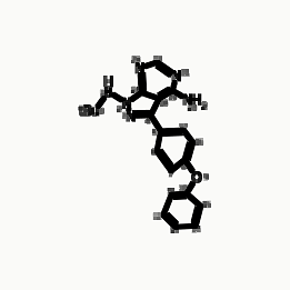 CC(C)(C)Bn1nc(-c2ccc(Oc3ccccc3)cc2)c2c(N)ncnc21